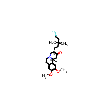 COc1cc2c(cc1OC)[C@H]1CC(=O)[C@H](CCC(C)(C)CC[19F])CN1CC2